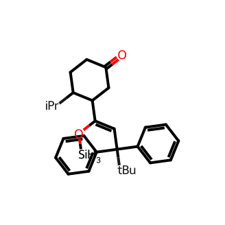 CC(C)C1CCC(=O)CC1C(=CC(c1ccccc1)(c1ccccc1)C(C)(C)C)O[SiH3]